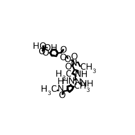 CCCN(C(=O)OCOC(=O)c1ccc(OP(=O)(O)O)cc1)C(=O)C1CNC(/C(=N\C=N)Nc2cc(C(=O)NCC)ccc2C)=C1C